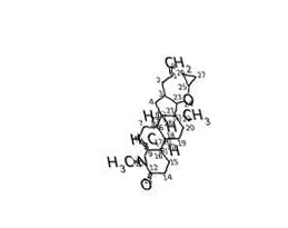 C=CCC1C[C@H]2[C@@H]3CC=C4N(C)C(=O)CC[C@]4(C)[C@@H]3CC[C@]2(C)C1OC1CC1